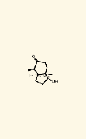 C=C1C(=O)CC[C@]2(C)[C@@H](O)CC[C@@H]12